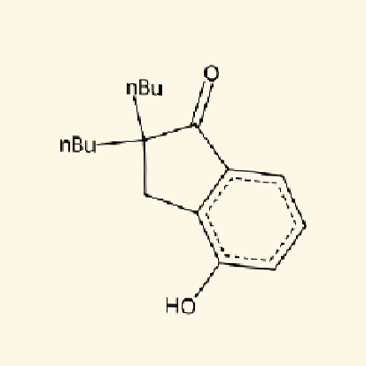 CCCCC1(CCCC)Cc2c(O)cccc2C1=O